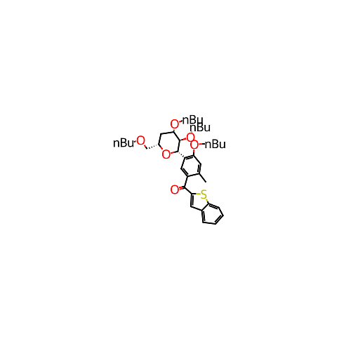 CCCCOC[C@@H]1C[C@H](OCCCC)[C@@H](OCCCC)[C@H](c2cc(C(=O)c3cc4ccccc4s3)c(C)cc2OCCCC)O1